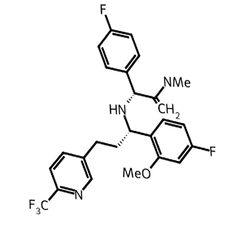 C=C(NC)[C@H](N[C@@H](CCc1ccc(C(F)(F)F)nc1)c1ccc(F)cc1OC)c1ccc(F)cc1